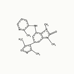 Cc1ncccc1Nc1cc(-c2c(C)noc2C)cc2c1n(C)c(=O)n2C